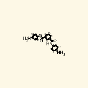 Nc1ccc(NC(=O)c2cccc(C(=O)Oc3ccc(N)cc3)c2)cc1